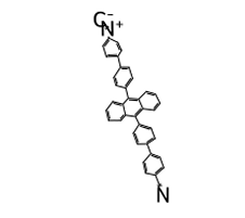 [C-]#[N+]c1ccc(-c2ccc(-c3c4ccccc4c(-c4ccc(-c5ccc(C#N)cc5)cc4)c4ccccc34)cc2)cc1